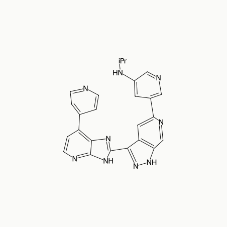 CC(C)Nc1cncc(-c2cc3c(-c4nc5c(-c6ccncc6)ccnc5[nH]4)n[nH]c3cn2)c1